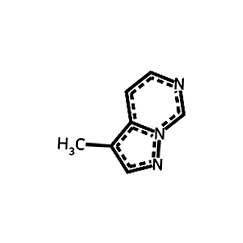 Cc1cnn2cnccc12